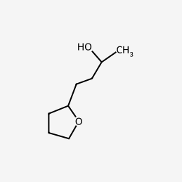 CC(O)CCC1CCCO1